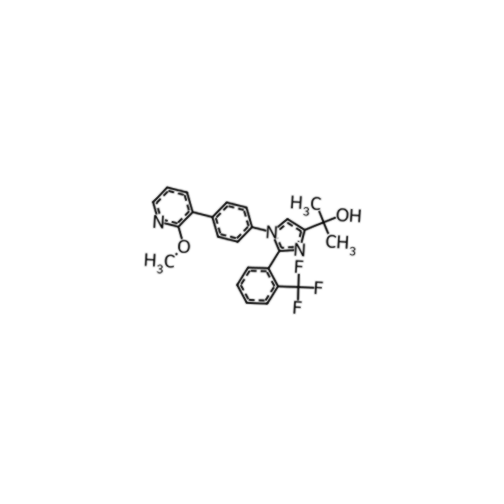 COc1ncccc1-c1ccc(-n2cc(C(C)(C)O)nc2-c2ccccc2C(F)(F)F)cc1